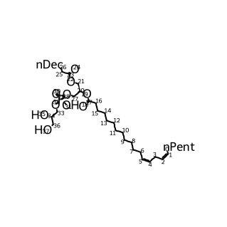 CCCCC/C=C\C/C=C\CCCCCCCCCCCC(=O)O[C@H](COC(=O)CCCCCCCCCCC)COP(=O)(O)OC[C@@H](O)CO